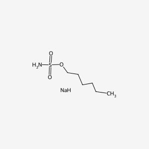 CCCCCCOS(N)(=O)=O.[NaH]